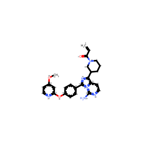 C=CC(=O)N1CCCC(c2nc(-c3ccc(Oc4cc(OC)ccn4)cc3)n3c(N)nccc23)C1